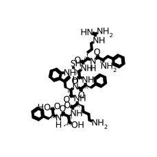 C[C@@H](O)[C@H](NC(=O)[C@H](CCCCN)NC(=O)[C@@H](Cc1c[nH]c2ccccc12)NC(=O)[C@H](Cc1ccccc1)NC(=O)[C@H](CS)NC(=O)[C@H](CCCNC(=N)N)NC(=O)[C@H](N)Cc1ccccc1)C(=O)N[C@@H](Cc1ccccc1)C(=O)O